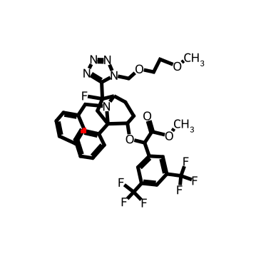 COCCOCn1nnnc1C1(F)CC2(c3ccccc3)C(OC(C(=O)OC)c3cc(C(F)(F)F)cc(C(F)(F)F)c3)CCC1N2Cc1ccccc1